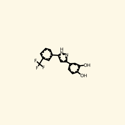 Oc1ccc(-c2cc(-c3cccc(C(F)(F)F)c3)[nH]n2)cc1O